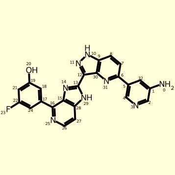 Nc1cncc(-c2ccc3[nH]nc(-c4nc5c(-c6cc(O)cc(F)c6)nccc5[nH]4)c3n2)c1